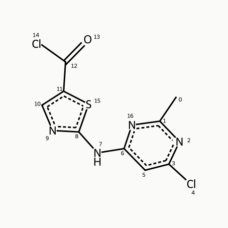 Cc1nc(Cl)cc(Nc2ncc(C(=O)Cl)s2)n1